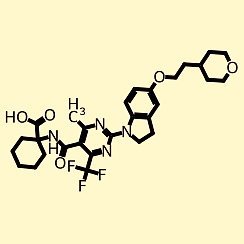 Cc1nc(N2CCc3cc(OCCC4CCOCC4)ccc32)nc(C(F)(F)F)c1C(=O)NC1(C(=O)O)CCCCC1